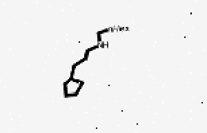 CCCCCCCNCCCC1CCCC1